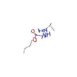 CCCCOC(=O)NNC(C)C